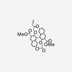 COC(=O)c1cc2ccccc2c(-c2c(OCC(=O)CI)c(C(=O)OC)cc3ccccc23)c1OCC(=O)Cl